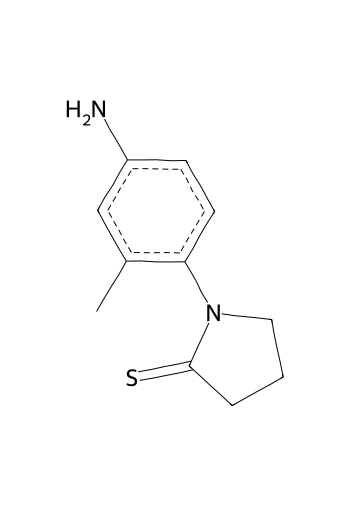 Cc1cc(N)ccc1N1CCCC1=S